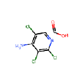 Nc1c(Cl)cnc(Cl)c1Cl.O=CO